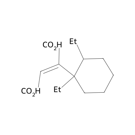 CCC1CCCCC1(CC)/C(=C\C(=O)O)C(=O)O